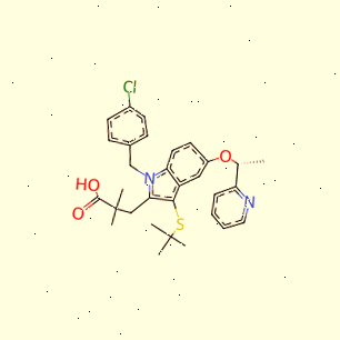 C[C@@H](Oc1ccc2c(c1)c(SC(C)(C)C)c(CC(C)(C)C(=O)O)n2Cc1ccc(Cl)cc1)c1ccccn1